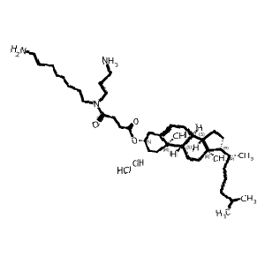 CC(C)CCC[C@@H](C)[C@H]1CC[C@H]2[C@@H]3CC=C4C[C@@H](OC(=O)CCC(=O)N(CCCN)CCCCCCCCN)CC[C@]4(C)[C@H]3CC[C@]12C.Cl.Cl